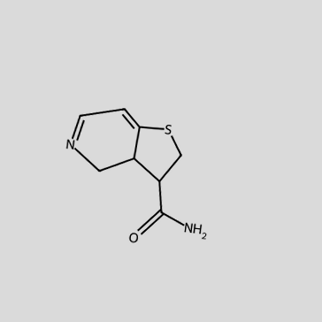 NC(=O)C1CSC2=CC=NCC21